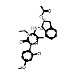 CCn1c(N[C@H]2c3ccccc3C[C@@H]2OC(C)=O)c(C)nc(-c2ccc(OC)cc2Cl)c1=O